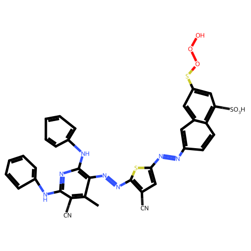 Cc1c(C#N)c(Nc2ccccc2)nc(Nc2ccccc2)c1N=Nc1sc(N=Nc2ccc3c(S(=O)(=O)O)cc(SOOO)cc3c2)cc1C#N